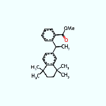 COC(=O)c1ccccc1C(C)c1ccc2c(c1)C(C)(C)CCC2(C)C